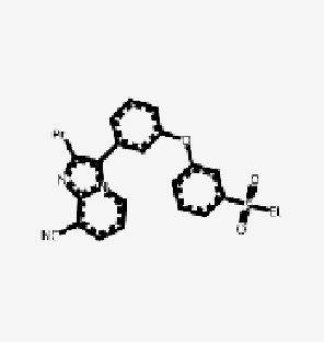 CCS(=O)(=O)c1cccc(Oc2cccc(-c3c(C(C)C)nc4c(C#N)cccn34)c2)c1